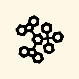 c1ccc([Si](c2ccccc2)(c2ccccc2)c2nc(-n3c4ccccc4c4cnccc43)nc(-n3c4ccccc4c4ccncc43)n2)cc1